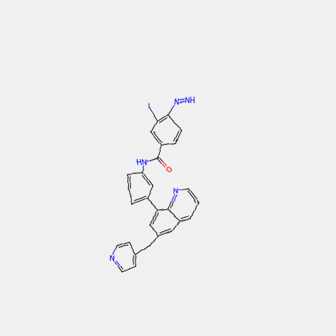 N=Nc1ccc(C(=O)Nc2cccc(-c3cc(Cc4ccncc4)cc4cccnc34)c2)cc1I